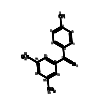 O=C(c1ccc(O)cc1)c1cc([N+](=O)[O-])cc([N+](=O)[O-])c1